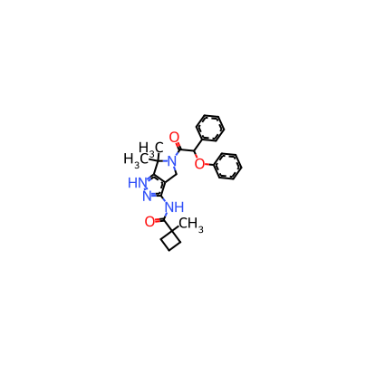 CC1(C(=O)Nc2n[nH]c3c2CN(C(=O)C(Oc2ccccc2)c2ccccc2)C3(C)C)CCC1